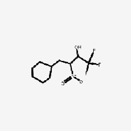 O=[N+]([O-])C(CC1CCCCC1)C(O)C(F)(F)F